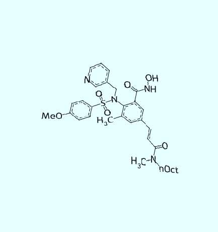 CCCCCCCCN(C)C(=O)/C=C/c1cc(C)c(N(Cc2cccnc2)S(=O)(=O)c2ccc(OC)cc2)c(C(=O)NO)c1